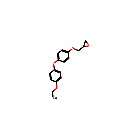 CCC(C)COc1ccc(Oc2ccc(OCC3CO3)cc2)cc1